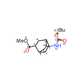 COC(=O)C1CC2CCC1CC2NC(=O)OC(C)(C)C